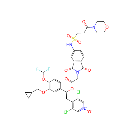 O=C(CN1C(=O)c2ccc(NS(=O)(=O)CCC(=O)N3CCOCC3)cc2C1=O)O[C@@H](Cc1c(Cl)c[n+]([O-])cc1Cl)c1ccc(OC(F)F)c(OCC2CC2)c1